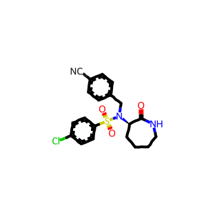 N#Cc1ccc(CN([C@@H]2CCCCNC2=O)S(=O)(=O)c2ccc(Cl)cc2)cc1